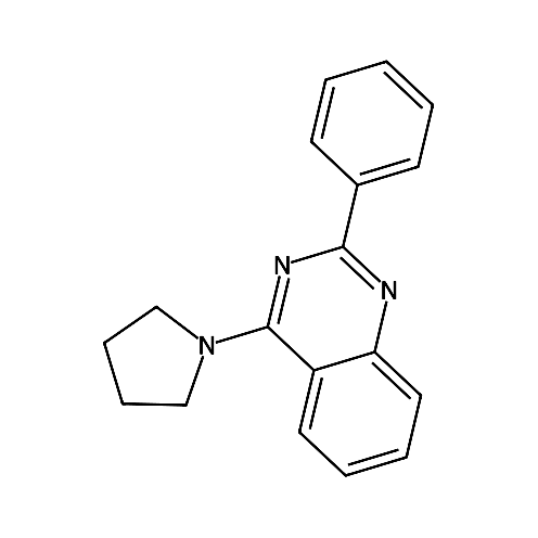 c1ccc(-c2nc(N3CCCC3)c3ccccc3n2)cc1